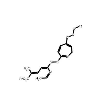 C\C=N/C(=C\C=C(/C)C(=O)OCC)SSC1=NCC=C(OOOCC)C=C1